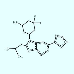 CC(C)Cc1nc2cnc(-c3nc[nH]n3)cc2n1C1CC(N)CC(F)(F)C1